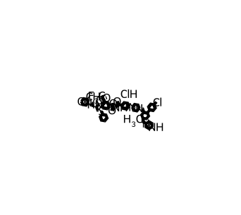 C[C@@H]1COCCN1CC[C@H](CSc1ccccc1)Nc1ccc(S(=O)(=O)NC(=O)c2ccc(N3CCN(CC4=C(c5ccc(Cl)cc5)CC[C@@](C)(CN5CCNCC5)C4)CC3)cc2)cc1S(=O)(=O)C(F)(F)F.Cl